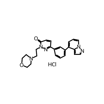 Cl.O=c1ccc(-c2cccc(-c3cccn4nccc34)c2)nn1CCN1CCOCC1